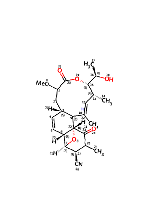 COC1C[C@H]2C=C[C@H]3[C@H]4O[C@]2(/C(C)=C/[C@@H](C)[C@@H]([C@@H](C)O)OC1=O)[C@@H]3C(=O)C(C)[C@H]4C#N